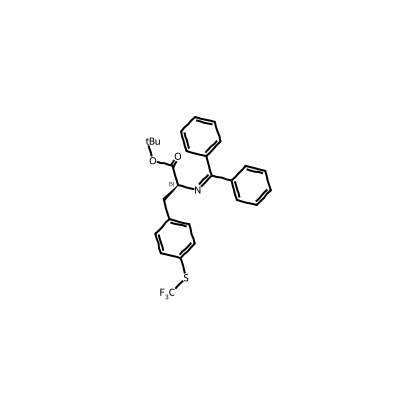 CC(C)(C)OC(=O)[C@H](Cc1ccc(SC(F)(F)F)cc1)N=C(c1ccccc1)c1ccccc1